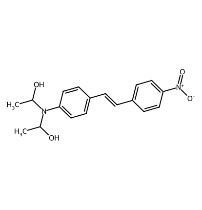 CC(O)N(c1ccc(/C=C/c2ccc([N+](=O)[O-])cc2)cc1)C(C)O